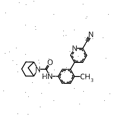 Cc1ccc(NC(=O)N2C3CCCC2C3)cc1-c1ccc(C#N)nc1